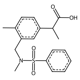 Cc1ccc(C(C)C(=O)O)cc1CN(C)S(=O)(=O)c1ccccc1